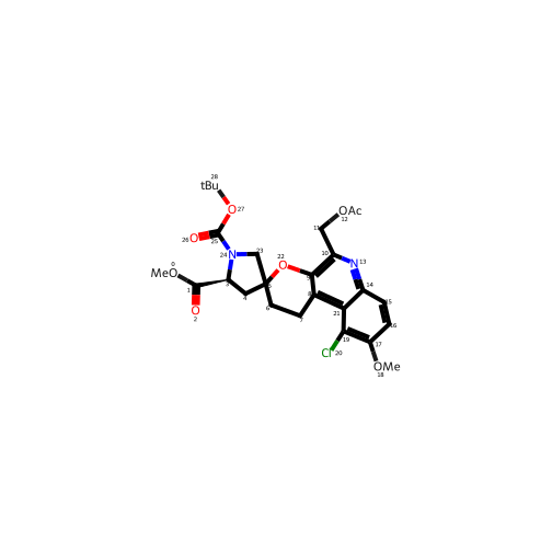 COC(=O)[C@@H]1CC2(CCc3c(c(COC(C)=O)nc4ccc(OC)c(Cl)c34)O2)CN1C(=O)OC(C)(C)C